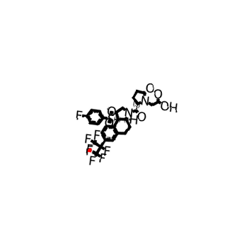 O=C(O)CN1C(=O)CC[C@H]1C(=O)N1CC[C@]2(S(=O)(=O)c3ccc(F)cc3)c3ccc(C(F)(C(F)(F)F)C(F)(F)F)cc3CC[C@H]12